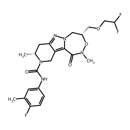 Cc1cc(NC(=O)N2Cc3c(nn4c3C(=O)N(C)O[C@@H](COCC(F)F)C4)C[C@H]2C)ccc1F